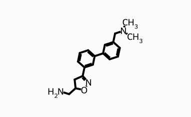 CN(C)Cc1cccc(-c2cccc(C3=NOC(CN)C3)c2)c1